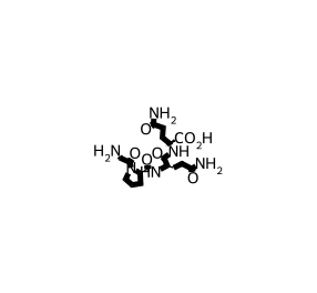 NCC(=O)N1CCC[C@H]1C(=O)N[C@@H](CCC(N)=O)C(=O)N[C@@H](CCC(N)=O)C(=O)O